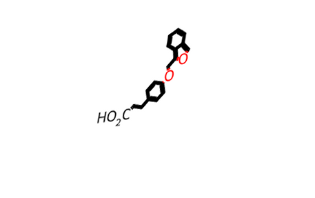 O=C(O)CCc1ccc(OCc2occ3ccccc23)cc1